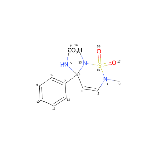 CN1C=CC(NC(=O)O)(c2ccccc2)N(C)S1(=O)=O